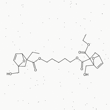 CCOC(=O)C1(C(=O)OCCCCCOC(=O)C2(CC)CC3(CO)C=CC2O3)CC2C=CC1(CO)O2